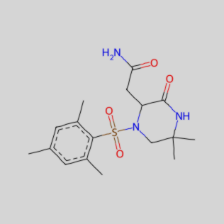 Cc1cc(C)c(S(=O)(=O)N2CC(C)(C)NC(=O)C2CC(N)=O)c(C)c1